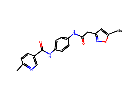 Cc1ccc(C(=O)Nc2ccc(NC(=O)Cc3cc(C(C)(C)C)on3)cc2)cn1